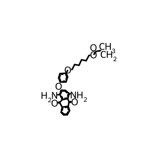 C=C(C)C(=O)OCCCCCCOc1ccc(Oc2cc(N)c3c(c2N)C(=O)c2ccccc2C3=O)cc1